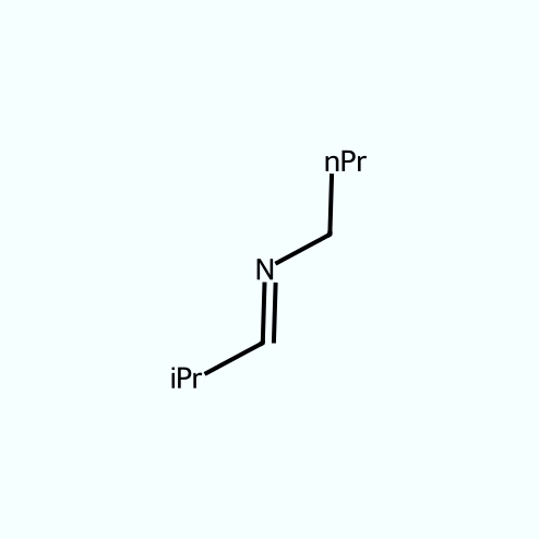 CCCCN=CC(C)C